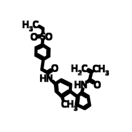 C=C(C)C(=O)Nc1ccccc1-c1ccc(NC(=O)Cc2ccc(S(=O)(=O)CC)cc2)cc1C